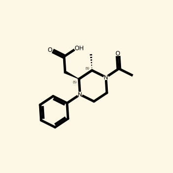 CC(=O)N1CCN(c2ccccc2)[C@@H](CC(=O)O)[C@@H]1C